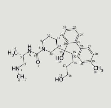 CNC[C@H](C)NC(=O)N1CCC[C@@H]([C@@](O)(CCCCO)c2ccccc2-c2ccc(C)cc2)C1